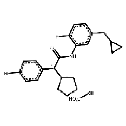 CCc1ccc([C@@H](C(=O)Nc2cc(CC3CC3)ccc2F)C2CCCC2)cc1.O=C(O)O